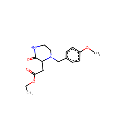 CCOC(=O)CC1C(=O)NCCN1Cc1ccc(OC)cc1